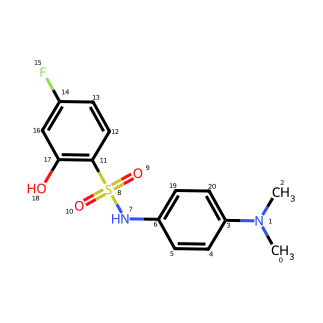 CN(C)c1ccc(NS(=O)(=O)c2ccc(F)cc2O)cc1